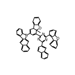 CC12Oc3ccccc3C1C=C(n1c3ccccc3c3cc4ccccc4cc31)C=C2c1nc(-c2ccc3ccccc3c2)nc(-c2cccc3oc4ccccc4c23)n1